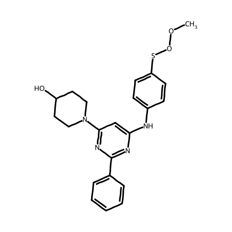 COOSc1ccc(Nc2cc(N3CCC(O)CC3)nc(-c3ccccc3)n2)cc1